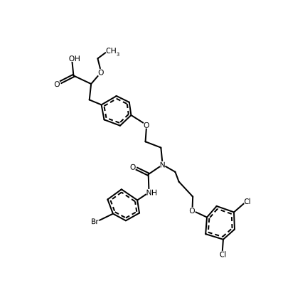 CCOC(Cc1ccc(OCCN(CCCOc2cc(Cl)cc(Cl)c2)C(=O)Nc2ccc(Br)cc2)cc1)C(=O)O